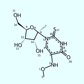 CONc1cn([C@]2(C)O[C@H](CO)[C@@H](O)[C@H]2O)c(=S)[nH]c1=O